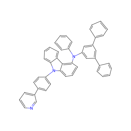 c1ccc(-c2cc(-c3ccccc3)cc(N(c3ccccc3)c3cccc4c3c3ccccc3n4-c3ccc(-c4cccnc4)cc3)c2)cc1